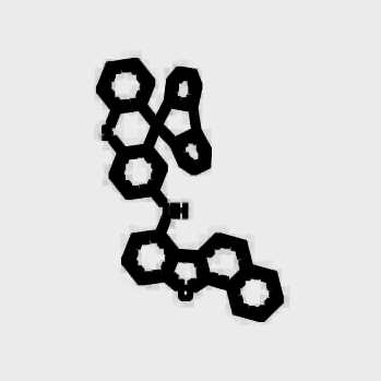 c1ccc2c(c1)Sc1ccc(Nc3cccc4oc5c6ccccc6ccc5c34)cc1C21c2ccccc2-c2ccccc21